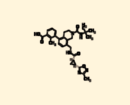 Cc1noc([C@@H]2C[C@@H]2C(=O)NCc2ccc(-c3cccc(C(=O)O)c3C)c3c2CN(C(=O)NC(C)(C)C)CC3)n1